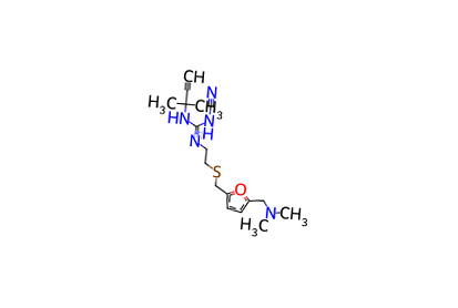 C#CC(C)(C)N/C(=N/CCSCc1ccc(CN(C)C)o1)NC#N